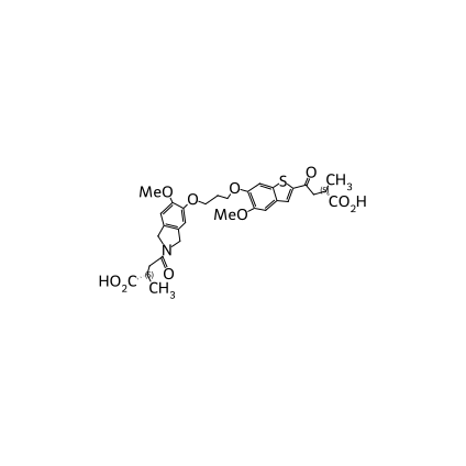 COc1cc2c(cc1OCCCOc1cc3sc(C(=O)C[C@H](C)C(=O)O)cc3cc1OC)CN(C(=O)C[C@H](C)C(=O)O)C2